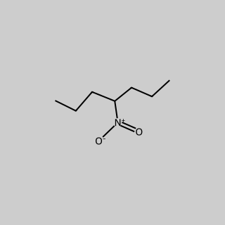 CCCC(CCC)[N+](=O)[O-]